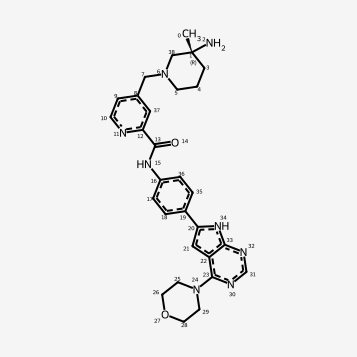 C[C@@]1(N)CCCN(Cc2ccnc(C(=O)Nc3ccc(-c4cc5c(N6CCOCC6)ncnc5[nH]4)cc3)c2)C1